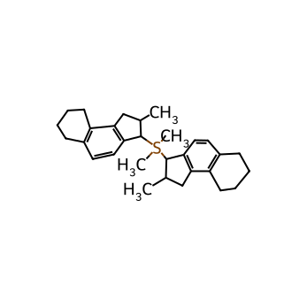 CC1Cc2c(ccc3c2CCCC3)C1S(C)(C)C1c2ccc3c(c2CC1C)CCCC3